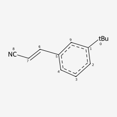 CC(C)(C)c1cccc(/C=C/C#N)c1